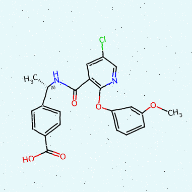 COc1cccc(Oc2ncc(Cl)cc2C(=O)N[C@@H](C)c2ccc(C(=O)O)cc2)c1